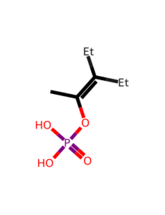 CCC(CC)=C(C)OP(=O)(O)O